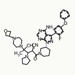 CC(C)(C(C(C#N)C(=O)N1CCC[C@@H](n2nc(-c3ccc(Oc4ccccc4)cc3F)c3c(N)ncnc32)C1)N1CCCC1)N1CCN(C2COC2)CC1